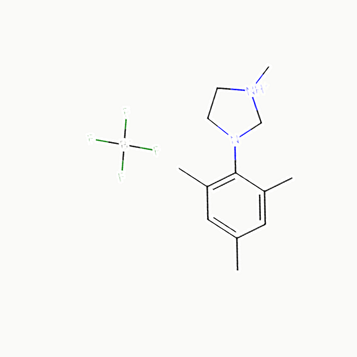 Cc1cc(C)c(N2CC[NH+](C)C2)c(C)c1.F[B-](F)(F)F